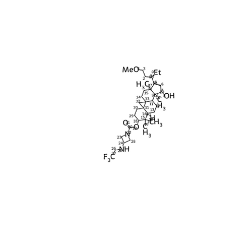 CC[C@H](CCOC)[C@H]1C[C@H](O)[C@@]2(C)C3CC[C@H]4C(C)(C)C(OC(=O)N5CC(NCC(F)(F)F)C5)CCC45CC35CCC12C